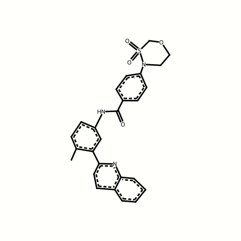 Cc1ccc(NC(=O)c2ccc(N3CCOCS3(=O)=O)cc2)cc1-c1ccc2ccccc2n1